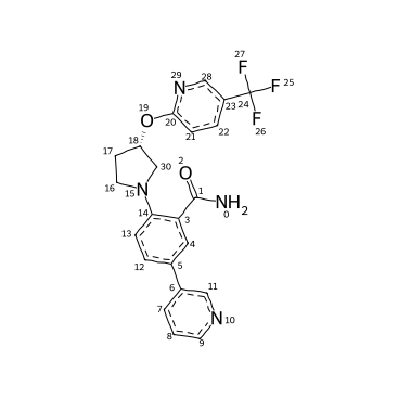 NC(=O)c1cc(-c2cccnc2)ccc1N1CC[C@H](Oc2ccc(C(F)(F)F)cn2)C1